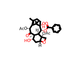 CC(=O)O[C@H]1C(=O)[C@]2(C)[C@@H](O)C[C@H]3OC[C@]3(OC(C)=O)[C@@H]2[C@@H](OC(=O)c2ccccc2)[C@]2(O)CCC(C)=C1C2(C)C